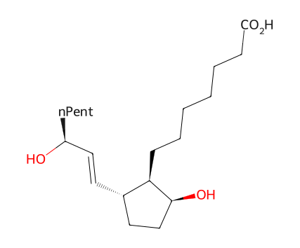 CCCCC[C@H](O)/C=C/[C@H]1CC[C@H](O)[C@@H]1CCCCCCC(=O)O